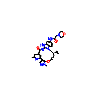 Cc1cc2cc(n1)-c1cnn(C)c1OCCC[C@@H](C1CC1)CN1/C(=N/C2=O)Nc2cc(NC(=O)CN3CCOCC3)ccc21